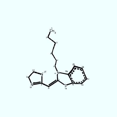 CCCCCCN1C(=CC2=NCCS2)Sc2ccccc21